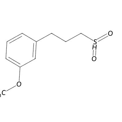 COc1cccc(CCC[SH](=O)=O)c1